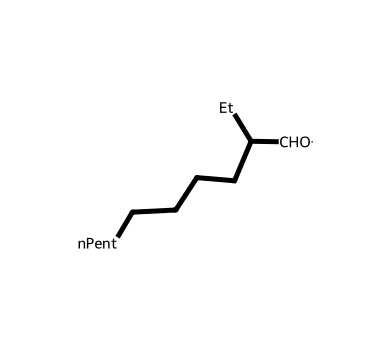 CCCCCCCCCC([C]=O)CC